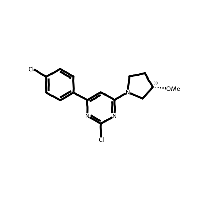 CO[C@H]1CCN(c2cc(-c3ccc(Cl)cc3)nc(Cl)n2)C1